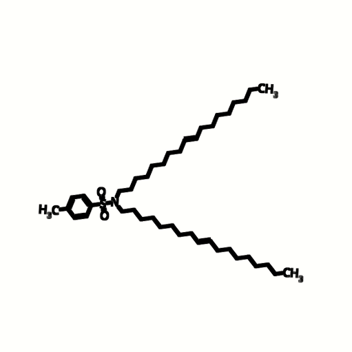 CCCCCCCCC=CCCCCCCCCN(CCCCCCCCC=CCCCCCCCC)S(=O)(=O)c1ccc(C)cc1